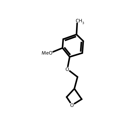 COc1cc(C)ccc1OCC1COC1